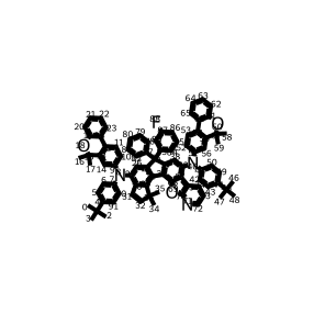 CC(C)(C)c1ccc(N(c2ccc3c(c2)C(C)(C)Oc2ccccc2-3)c2cc3c(c4c2C=CC4(C)C)-c2c(cc(N(c4ccc(C(C)(C)C)cc4)c4ccc5c(c4)C(C)(C)Oc4ccccc4-5)c4c2oc2ncccc24)C3(c2ccccc2)c2cccc(F)c2)cc1